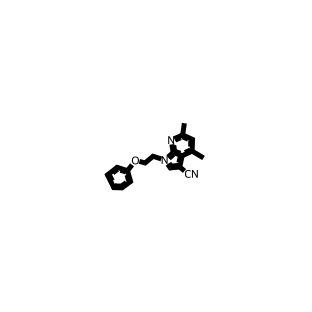 Cc1cc(C)c2c(C#N)cn(CCOc3ccccc3)c2n1